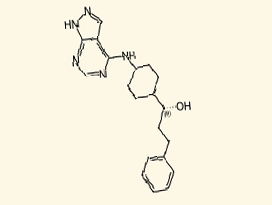 O[C@H](CCc1ccccc1)C1CCC(Nc2ncnc3[nH]ncc23)CC1